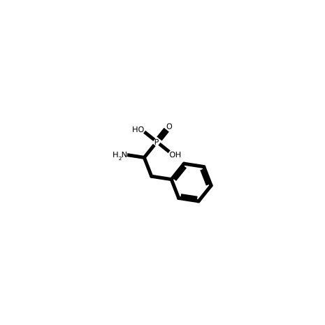 NC(Cc1ccccc1)P(=O)(O)O